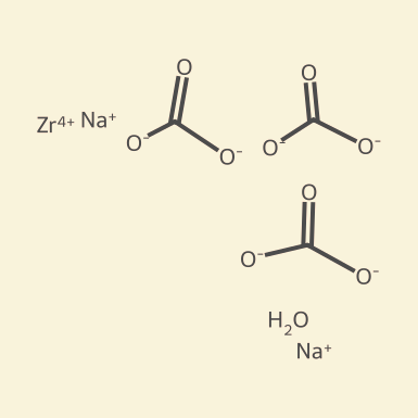 O.O=C([O-])[O-].O=C([O-])[O-].O=C([O-])[O-].[Na+].[Na+].[Zr+4]